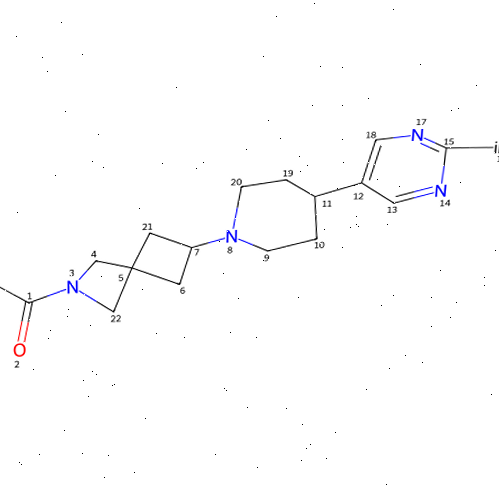 CC(C)C(=O)N1CC2(CC(N3CCC(c4cnc(C(C)C)nc4)CC3)C2)C1